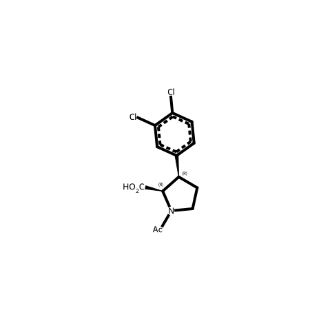 CC(=O)N1CC[C@H](c2ccc(Cl)c(Cl)c2)[C@@H]1C(=O)O